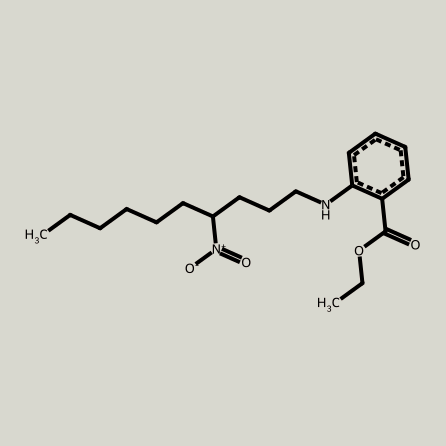 CCCCCCC(CCCNc1ccccc1C(=O)OCC)[N+](=O)[O-]